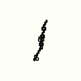 C=CC(=O)OCCCCCCOc1ccc(C(=O)Oc2ccc(CCC3CCC(CCCCC)CC3)cc2F)cc1